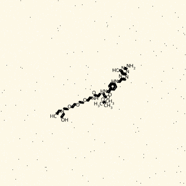 C#CCN(CCO)CCOCCOCCOCCNC(=O)CC[C@H](NC(=O)c1ccc(NCc2cnc3nc(N)nc(O)c3n2)cc1)C(=O)OC(C)(C)C